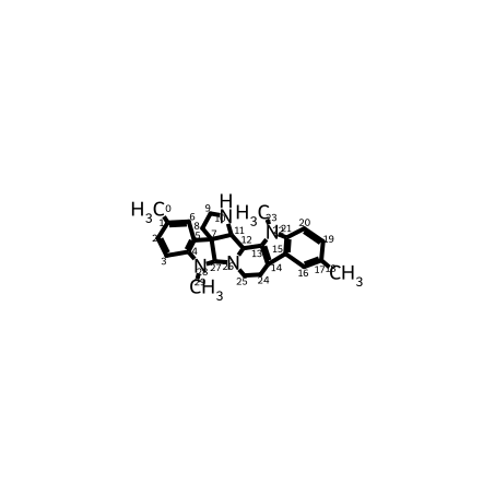 Cc1ccc2c(c1)C13CCNC1C1c4c(c5cc(C)ccc5n4C)CCN1C3N2C